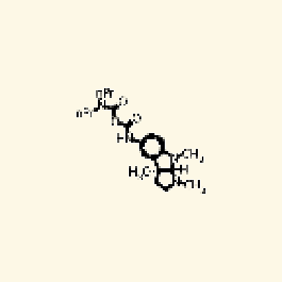 CCCN(CCC)C(=O)OC(=O)Nc1ccc2c(c1)[C@]1(C)CCN(C)[C@H]1N2C